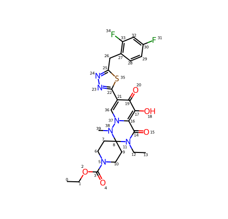 CCOC(=O)N1CCC2(CC1)N(CC)C(=O)c1c(O)c(=O)c(-c3nnc(Cc4ccc(F)cc4F)s3)cn1N2C